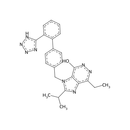 CCc1nnc(O)c2c1nc(C(C)C)n2Cc1ccc(-c2ccccc2-c2nnn[nH]2)cc1